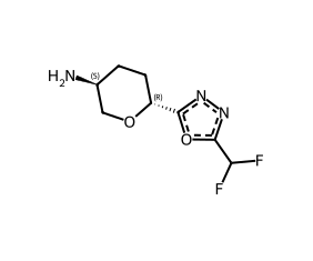 N[C@H]1CC[C@H](c2nnc(C(F)F)o2)OC1